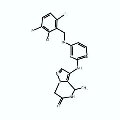 CC1NC(=O)Cn2ncc(Nc3nccc(NCc4c(Cl)ccc(F)c4Cl)n3)c21